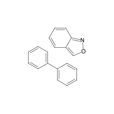 c1ccc(-c2ccccc2)cc1.c1ccc2nocc2c1